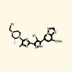 COc1cc(-c2[nH]nc(-c3nc(C)c(N4CCN(CC(C)C)C[C@H]4C)s3)c2C(C)C)cn2ncnc12